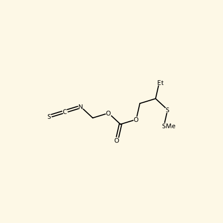 CCC(COC(=O)OCN=C=S)SSC